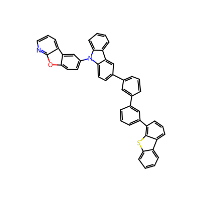 c1cc(-c2cccc(-c3cccc4c3sc3ccccc34)c2)cc(-c2ccc3c(c2)c2ccccc2n3-c2ccc3oc4ncccc4c3c2)c1